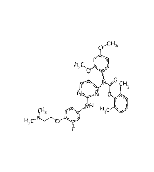 COc1ccc(N(C(=O)Oc2c(C)cccc2C)c2ccnc(Nc3ccc(OCCN(C)C)c(F)c3)n2)c(OC)c1